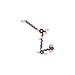 CCCCCCCCCCOc1ccc(C(=O)O)c(CCOC(=O)CCCC=CC[C@@H]2[C@@H](C=CC[C@H](O)C3(CC)CCC3)[C@H](O)C[C@H]2Cl)c1